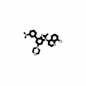 Cc1nc2c(-c3cccc(N(C)C)c3)cc(N3CCOCC3)cc2n1-c1ccnc2c(Cl)cccc12